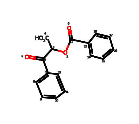 O=C(OC(C(=O)O)C(=O)c1ccccc1)c1ccccc1